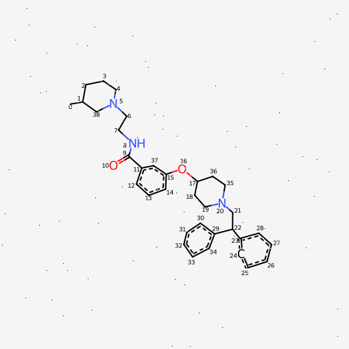 CC1CCCN(CCNC(=O)c2cccc(OC3CCN(CC(c4ccccc4)c4ccccc4)CC3)c2)C1